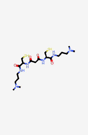 CN(C)CCCNC(=O)C(CS)NC(=O)CC(=O)NC(CS)C(=O)NCCCN(C)C